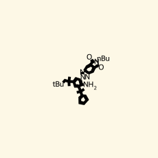 CCCCN1C(=O)c2cc3nn(-c4cc(C(C)(C)CC(C)(C)C)cc(C(C)(C)c5ccccc5)c4N)nc3cc2C1=O